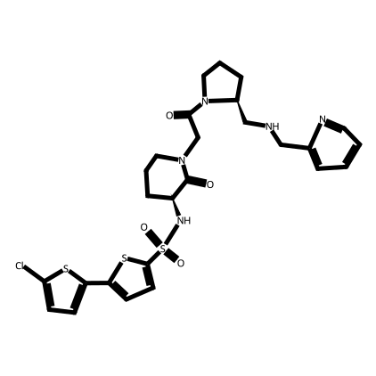 O=C1[C@@H](NS(=O)(=O)c2ccc(-c3ccc(Cl)s3)s2)CCCN1CC(=O)N1CCC[C@H]1CNCc1ccccn1